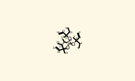 C=CC(C)(CC)O[Si](CC)(OC(C)(C=C)CC)OC(C)(C=C)CC